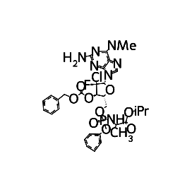 CNc1nc(N)nc2c1ncn2[C@@H]1O[C@H](COP(=O)(N[C@@H](C)C(=O)OC(C)C)Oc2ccccc2)[C@@H](OC(=O)OCc2ccccc2)[C@]1(F)Cl